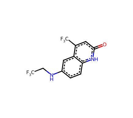 O=c1cc(C(F)(F)F)c2cc(NCC(F)(F)F)ccc2[nH]1